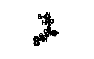 Cc1ccc(N(CCOC(=O)Nc2cccc3ccccc23)C(=O)OCCNC(=O)c2cncc(Br)c2)cc1